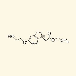 CCOC(=O)C[C@@H]1CCc2cc(OCCO)ccc21